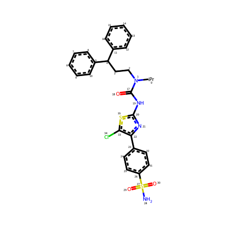 CC(C)N(CCC(c1ccccc1)c1ccccc1)C(=O)Nc1nc(-c2ccc(S(N)(=O)=O)cc2)c(Cl)s1